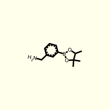 CC1OB(c2cccc(CN)c2)OC1(C)C